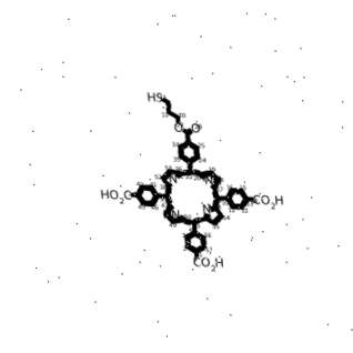 O=C(O)c1ccc(-c2c3nc(c(-c4ccc(C(=O)O)cc4)c4ccc([nH]4)c(-c4ccc(C(=O)OCCCS)cc4)c4nc(c(-c5ccc(C(=O)O)cc5)c5ccc2[nH]5)C=C4)C=C3)cc1